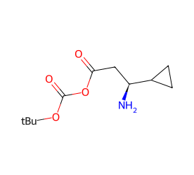 CC(C)(C)OC(=O)OC(=O)C[C@H](N)C1CC1